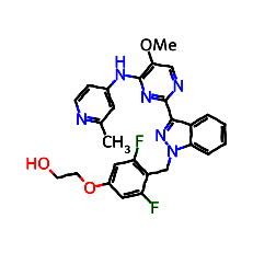 COc1cnc(-c2nn(Cc3c(F)cc(OCCO)cc3F)c3ccccc23)nc1Nc1ccnc(C)c1